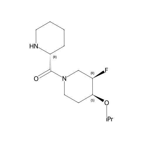 CC(C)O[C@H]1CCN(C(=O)[C@H]2CCCCN2)C[C@H]1F